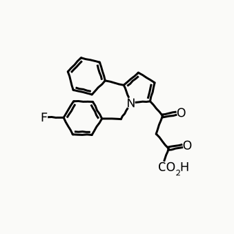 O=C(O)C(=O)CC(=O)c1ccc(-c2ccccc2)n1Cc1ccc(F)cc1